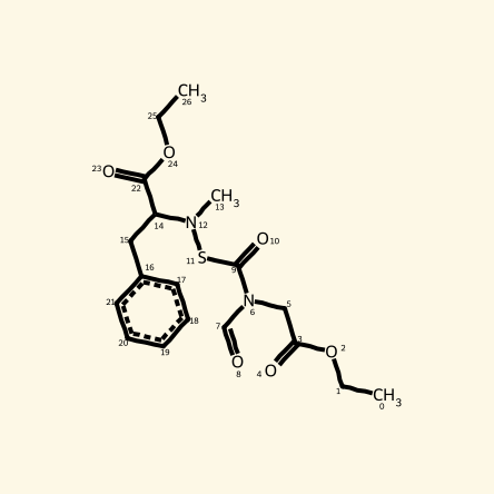 CCOC(=O)CN(C=O)C(=O)SN(C)C(Cc1ccccc1)C(=O)OCC